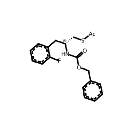 CC(=O)SC[C@@H](Cc1ccccc1F)NC(=O)OCc1ccccc1